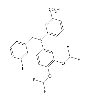 O=C(O)c1cccc(N(Cc2cccc(F)c2)c2ccc(OC(F)F)c(OC(F)F)c2)c1